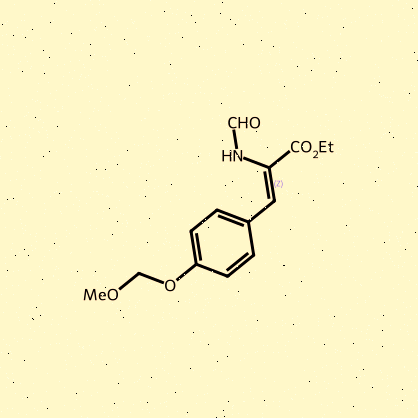 CCOC(=O)/C(=C/c1ccc(OCOC)cc1)NC=O